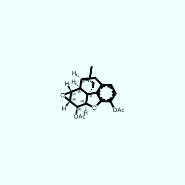 CC(=O)Oc1ccc2c3c1O[C@H]1[C@@H](OC(C)=O)[C@@H]4O[C@@H]4[C@H]4[C@@H](C2)N(C)CC[C@@]341